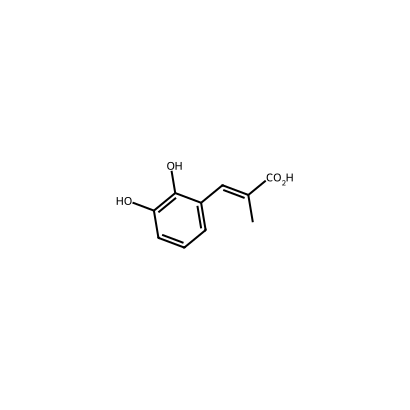 CC(=Cc1cccc(O)c1O)C(=O)O